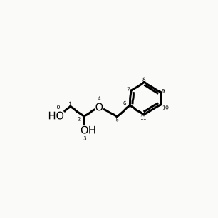 OCC(O)OCc1ccccc1